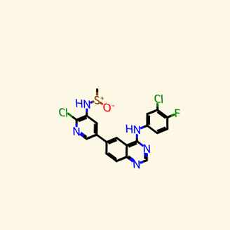 C[S+]([O-])Nc1cc(-c2ccc3ncnc(Nc4ccc(F)c(Cl)c4)c3c2)cnc1Cl